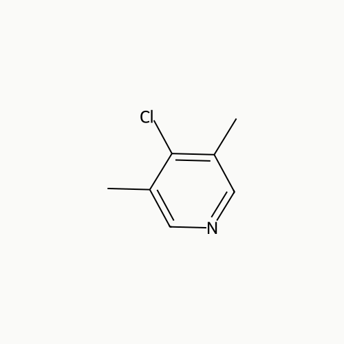 Cc1cncc(C)c1Cl